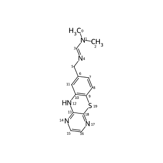 CN(C)C=NCc1ccc2c(c1)Nc1nccnc1S2